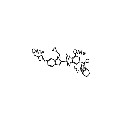 COCC1CN(c2ccc3cc(-c4nc5cc(C(=O)N6CC7CCC6[C@@H]7N)cc(OC)c5n4C)n(CC4CC4)c3c2)C1